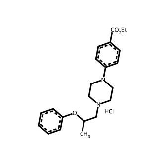 CCOC(=O)c1ccc(N2CCN(CC(C)Oc3ccccc3)CC2)cc1.Cl